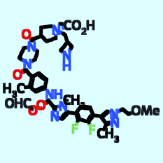 COCCn1cc(-c2ccc(-c3cnc(C(=O)Nc4ccc(C(=O)N5CCN(C(=O)C6CC[N+](CC(=O)O)(CC7CNC7)CC6)CC5)c(C)c4)n3C)c(F)c2F)c(C)n1.O=C[O-]